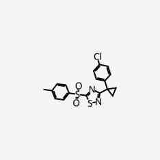 Cc1ccc(S(=O)(=O)c2nc(C3(c4ccc(Cl)cc4)CC3)ns2)cc1